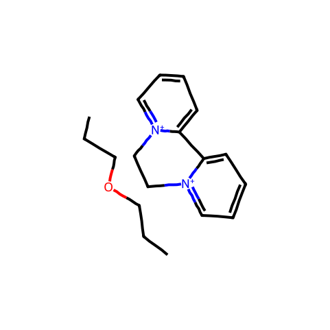 CCCOCCC.c1cc[n+]2c(c1)-c1cccc[n+]1CC2